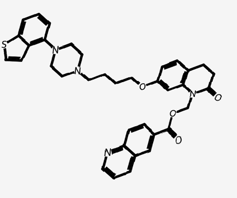 O=C(OCN1C(=O)CCc2ccc(OCCCCN3CCN(c4cccc5sccc45)CC3)cc21)c1ccc2ncccc2c1